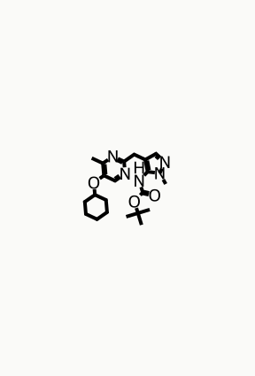 Cc1nc(Cc2cnn(C)c2NC(=O)OC(C)(C)C)ncc1OC1CCCCC1